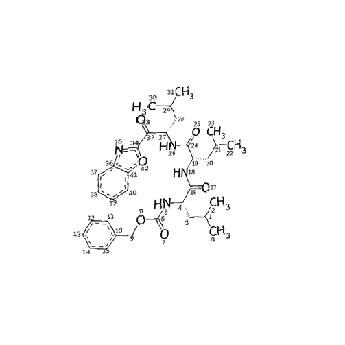 CC(C)C[C@H](NC(=O)OCc1ccccc1)C(=O)N[C@@H](CC(C)C)C(=O)N[C@@H](CC(C)C)C(=O)c1nc2ccccc2o1